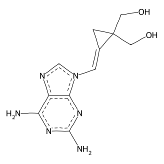 Nc1nc(N)c2ncn(/C=C3\CC3(CO)CO)c2n1